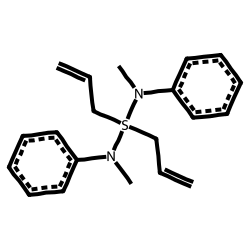 C=CCS(CC=C)(N(C)c1ccccc1)N(C)c1ccccc1